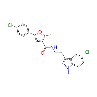 Cc1oc(-c2ccc(Cl)cc2)cc1C(=O)NCCc1c[nH]c2ccc(Cl)cc12